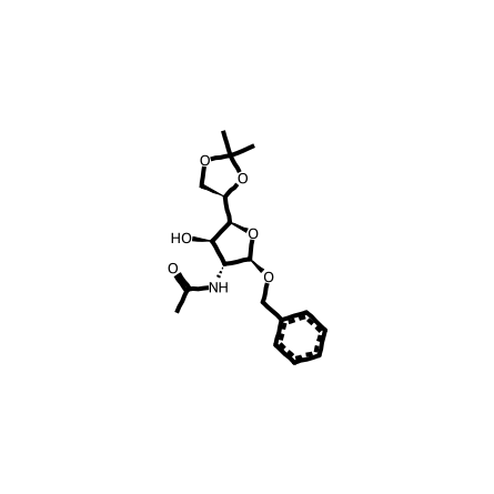 CC(=O)N[C@H]1[C@H](OCc2ccccc2)O[C@H]([C@H]2COC(C)(C)O2)[C@@H]1O